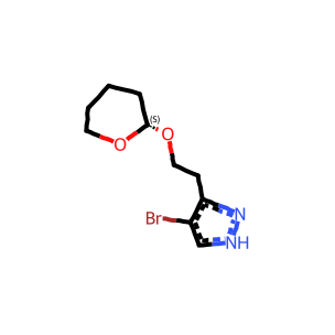 Brc1c[nH]nc1CCO[C@H]1CCCCO1